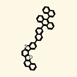 c1ccc2c(-c3c4ccccc4c(-c4ccc5cc(-c6ccc7c(c6)sc6ccc8c9ccc%10ccccc%10c9oc8c67)ccc5c4)c4ccccc34)cccc2c1